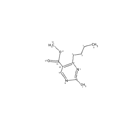 CCCCc1nc(C)ncc1C(=O)OC